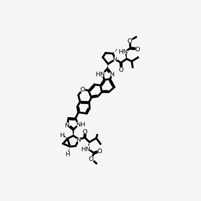 COC(=O)N[C@H](C(=O)N1C[C@H]2C[C@H]2[C@H]1c1ncc(-c2ccc3c(c2)COc2cc4c(ccc5nc([C@@H]6CC[C@H](C)N6C(=O)[C@@H](NC(=O)OC)C(C)C)[nH]c54)cc2-3)[nH]1)C(C)C